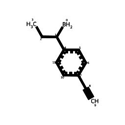 BC(CC)c1ccc(C#C)cc1